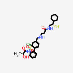 C[C@H](O)C(=O)NS(=O)(=O)C1(Cl)CC(CNCCC(=O)NC[C@@H](S)C2CCCCC2)=CC=C1c1ccccc1